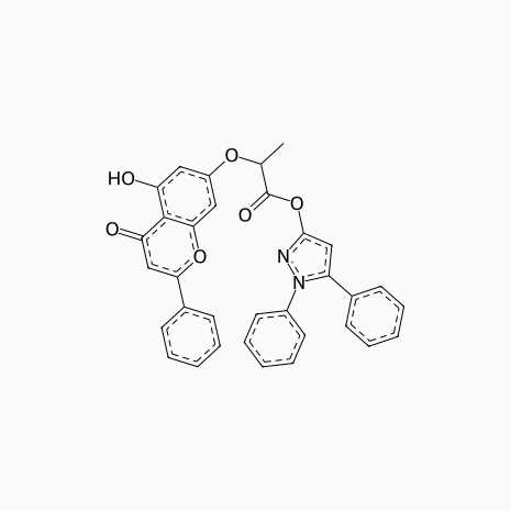 CC(Oc1cc(O)c2c(=O)cc(-c3ccccc3)oc2c1)C(=O)Oc1cc(-c2ccccc2)n(-c2ccccc2)n1